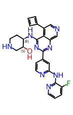 O[C@H]1CNCC[C@H]1Nc1nc(-c2ccnc(Nc3ncccc3F)c2)nc2cncc(C3=CC=C3)c12